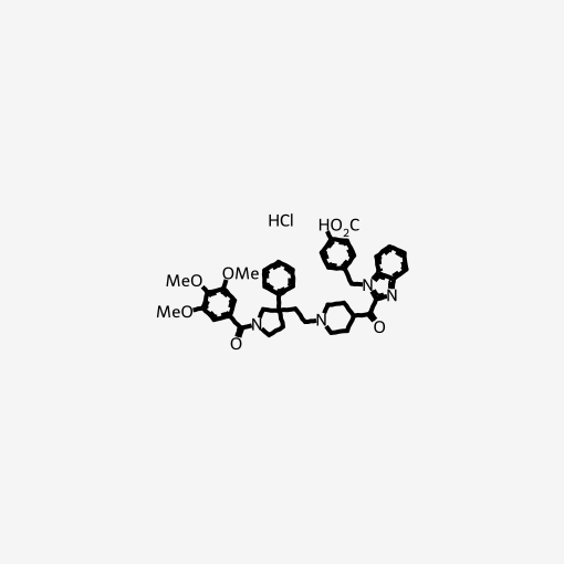 COc1cc(C(=O)N2CCC(CCN3CCC(C(=O)c4nc5ccccc5n4Cc4ccc(C(=O)O)cc4)CC3)(c3ccccc3)C2)cc(OC)c1OC.Cl